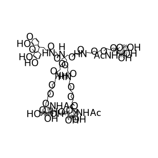 CC(=O)N[C@H]1[C@H](OCCOCCOCCNC(=O)CCOCC(COCCC(=O)NCCOCCOCCOC2O[C@H](CO)[C@H](O)[C@H](O)[C@H]2NC(C)=O)(COCCC(=O)NCCOCCOCCO[C@@H]2O[C@H](CO)[C@H](O)[C@H](O)[C@H]2NC(C)=O)NC(=O)CNC(=O)CCc2c3ccc(=O)c(O)c-3oc3c(O)c(O)ccc23)O[C@H](CO)[C@H](O)[C@@H]1O